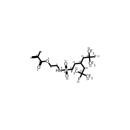 C=C(C)C(=O)OCCNS(=O)(=O)CCC(CC(F)(C(F)(F)F)C(F)(F)F)CC(F)(C(F)(F)F)C(F)(F)F